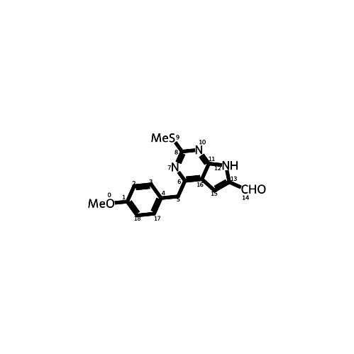 COc1ccc(Cc2nc(SC)nc3[nH]c(C=O)cc23)cc1